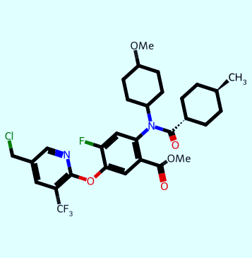 COC(=O)c1cc(Oc2ncc(CCl)cc2C(F)(F)F)c(F)cc1N(C(=O)[C@H]1CC[C@H](C)CC1)C1CCC(OC)CC1